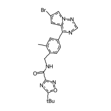 Cc1cc(-c2ncnn3cc(Br)cc23)ccc1CNC(=O)c1noc(C(C)(C)C)n1